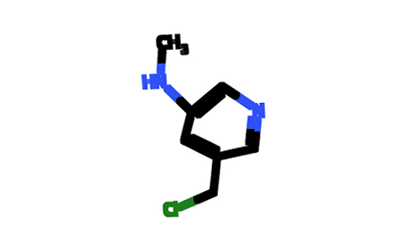 CNc1cncc(CCl)c1